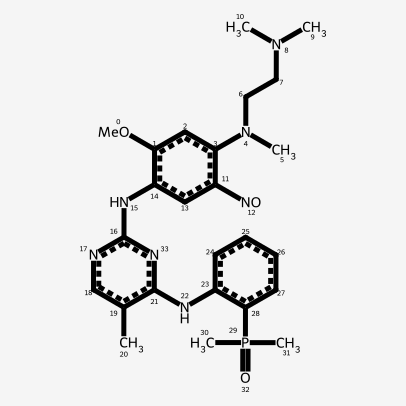 COc1cc(N(C)CCN(C)C)c(N=O)cc1Nc1ncc(C)c(Nc2ccccc2P(C)(C)=O)n1